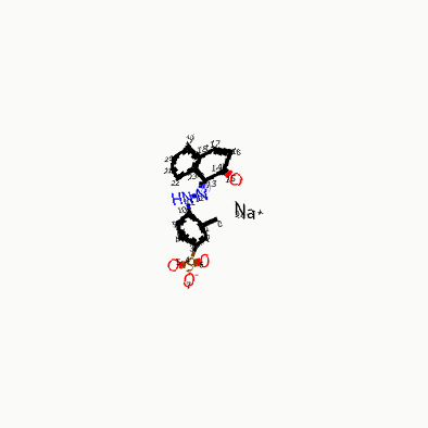 Cc1cc(S(=O)(=O)[O-])ccc1N/N=C1/C(=O)C=Cc2ccccc21.[Na+]